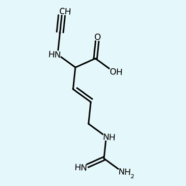 C#CNC(C=CCNC(=N)N)C(=O)O